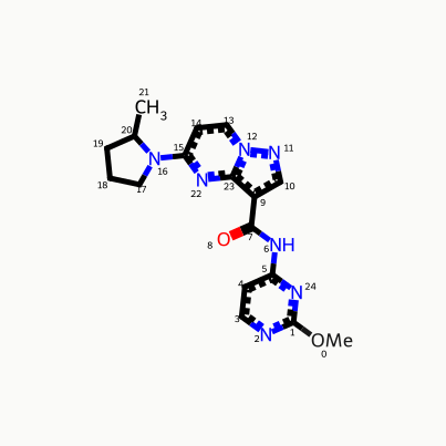 COc1nccc(NC(=O)c2cnn3ccc(N4CCCC4C)nc23)n1